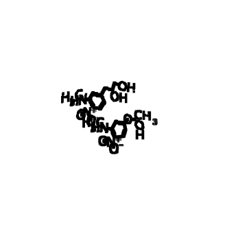 CNc1cc(CC(O)CO)ccc1[N+](=O)[O-].CNc1cc(OC(C)O)ccc1[N+](=O)[O-]